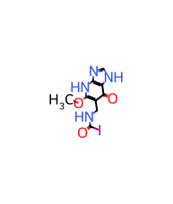 COc1[nH]c2nc[nH]c2c(=O)c1CNC(=O)I